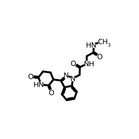 CNC(=O)CNC(=O)Cn1nc(C2CCC(=O)NC2=O)c2ccccc21